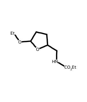 CCOC(=O)NCC1CCC(OCC)O1